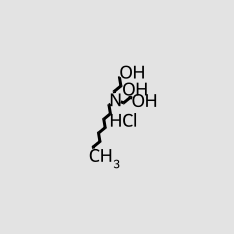 CCCCCCCCN(CCCO)CC(O)O.Cl